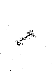 NNC(CCCCNC(=O)CCN1C(=O)C=CC1=O)C(=O)P